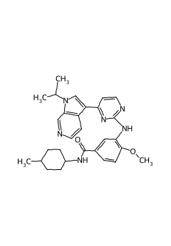 COc1ccc(C(=O)NC2CCC(C)CC2)cc1Nc1nccc(-c2cn(C(C)C)c3cnccc23)n1